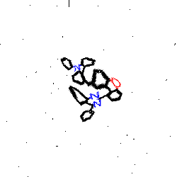 c1ccc(-c2nc(-c3cccc4oc5ccc(-c6cccc7c6c6ccccc6n7-c6ccccc6)cc5c34)nc3ccccc23)cc1